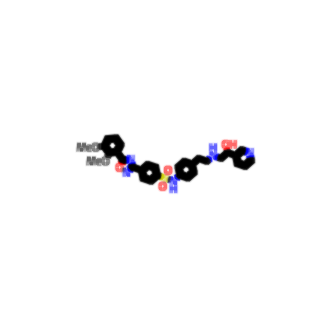 COc1cccc(-c2nc(-c3ccc(S(=O)(=O)Nc4ccc(CCNCC(O)c5cccnc5)cc4)cc3)no2)c1OC